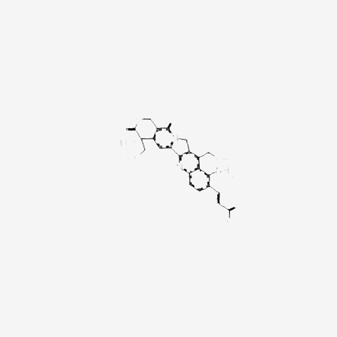 CCc1c2c(nc3ccc(C=CC(C)=O)c(N)c13)-c1cc3c(c(=O)n1C2)COC(=O)[C@]3(O)CC